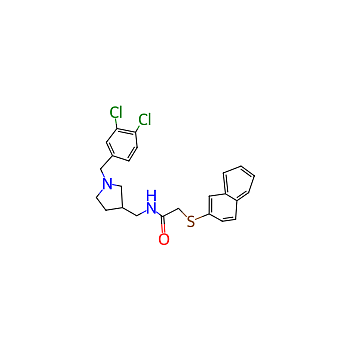 O=C(CSc1ccc2ccccc2c1)NCC1CCN(Cc2ccc(Cl)c(Cl)c2)C1